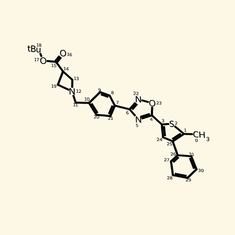 Cc1sc(-c2nc(-c3ccc(CN4CC(C(=O)OC(C)(C)C)C4)cc3)no2)cc1-c1ccccc1